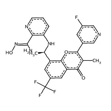 Cc1c(-c2cncc(F)c2)oc2c([C@@H](C)Nc3cccnc3/C(N)=N/O)cc(C(F)(F)F)cc2c1=O